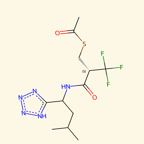 CC(=O)SC[C@@H](C(=O)NC(CC(C)C)c1nnn[nH]1)C(F)(F)F